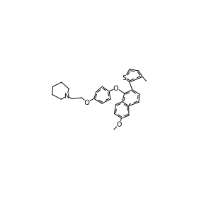 COc1ccc2c(Oc3ccc(OCCN4CCCCC4)cc3)c(-c3sccc3C)ccc2c1